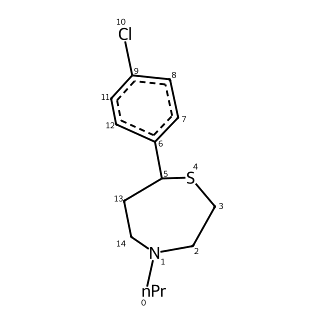 CCCN1CCSC(c2ccc(Cl)cc2)CC1